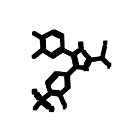 Cc1ccc(-c2[nH]c(C(F)F)nc2-c2ccc(S(C)(=O)=O)c(F)c2)cc1C